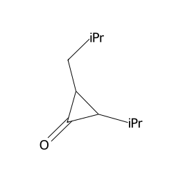 CC(C)CC1C(=O)C1C(C)C